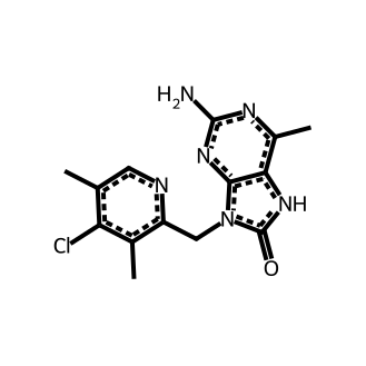 Cc1cnc(Cn2c(=O)[nH]c3c(C)nc(N)nc32)c(C)c1Cl